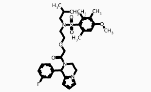 COc1cc(C)c(S(=O)(=O)N(CCOCC(=O)N2CCn3cccc3C2c2cccc(F)c2)CC(C)C)c(C)c1C